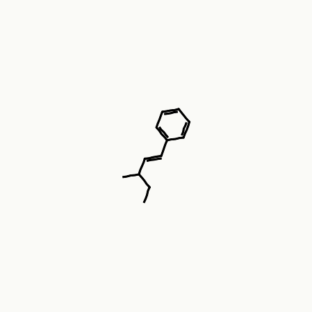 CC[C](C)C=Cc1ccccc1